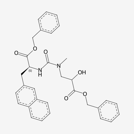 CN(CC(O)C(=O)OCc1ccccc1)C(=O)N[C@@H](Cc1ccc2ccccc2c1)C(=O)OCc1ccccc1